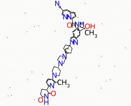 Cc1nc(C2CCC(=O)NC2=O)ccc1N1CCC(N2CCN(C34CCC(n5cc6cc(NC(=O)c7ccc8cc(C#N)cnn78)c(C(C)(C)O)cc6n5)(CC3)CC4)CC2)CC1